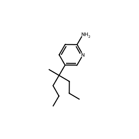 CCCC(C)(CCC)c1ccc(N)nc1